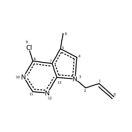 C=CCn1cc(C)c2c(Cl)ncnc21